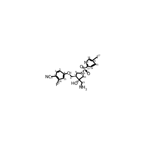 N#Cc1ccc(OC[C@H]2CN(S(=O)(=O)c3ccc(I)cn3)C[C@@]2(O)CN)cc1F